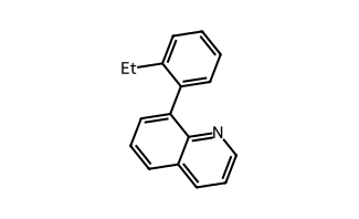 [CH2]Cc1ccccc1-c1cccc2cccnc12